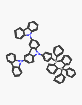 c1ccc([Si]2(c3ccccc3)c3ccccc3[Si](c3ccccc3)(c3ccc(-n4c5ccc(-n6c7ccccc7c7ccccc76)cc5c5cc(-n6c7ccccc7c7ccccc76)ccc54)cc3)c3ccccc32)cc1